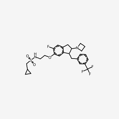 O=S(=O)(CC1CC1)NCCOc1cc2c(cc1F)CC(N1CCC1)C2Cc1cccc(C(F)(F)F)c1